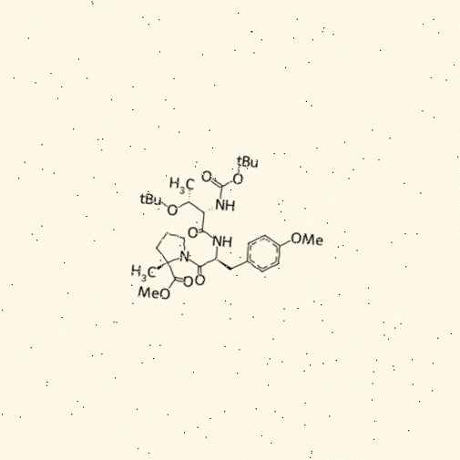 COC(=O)[C@]1(C)CCCN1C(=O)[C@H](Cc1ccc(OC)cc1)NC(=O)[C@@H](NC(=O)OC(C)(C)C)[C@@H](C)OC(C)(C)C